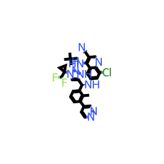 Cc1c(-c2ccnnc2)cccc1[C@H](Nc1cc(Cl)c2ncc(C#N)c(NCC(C)(C)C)c2c1)C1=CN(C2(C(F)F)CC2)NN1